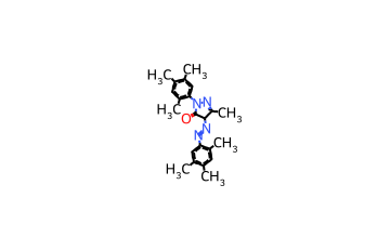 CC1=NN(c2cc(C)c(C)cc2C)C(=O)C1N=Nc1cc(C)c(C)cc1C